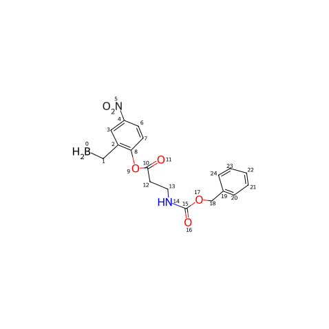 BCc1cc([N+](=O)[O-])ccc1OC(=O)CCNC(=O)OCc1ccccc1